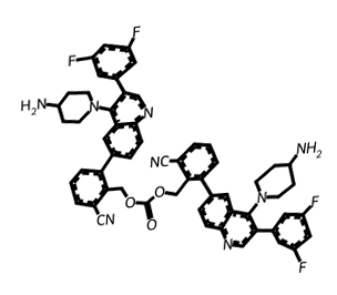 N#Cc1cccc(-c2ccc3ncc(-c4cc(F)cc(F)c4)c(N4CCC(N)CC4)c3c2)c1COC(=O)OCc1c(C#N)cccc1-c1ccc2ncc(-c3cc(F)cc(F)c3)c(N3CCC(N)CC3)c2c1